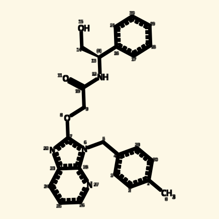 Cc1ccc(Cn2c(OCC(=O)N[C@@H](CO)c3ccccc3)nc3cccnc32)cc1